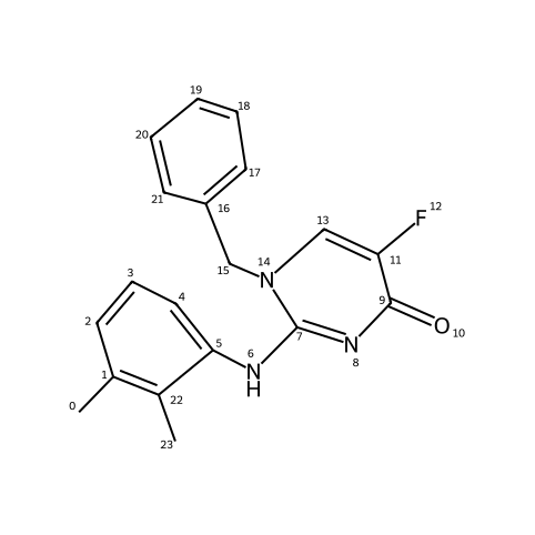 Cc1cccc(Nc2nc(=O)c(F)cn2Cc2ccccc2)c1C